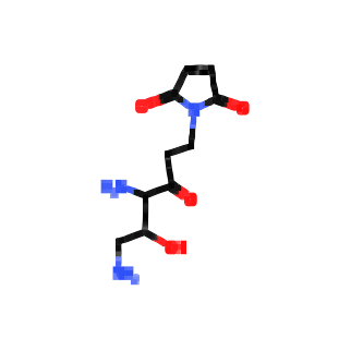 NCC(O)C(N)C(=O)CCN1C(=O)C=CC1=O